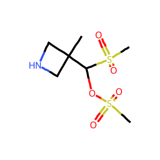 CC1(C(OS(C)(=O)=O)S(C)(=O)=O)CNC1